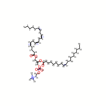 CCCCC/C=C\C/C=C\C/C=C\C/C=C\CCCC(=O)OC[C@H](COP(=O)([O-])OCC[N+](C)(C)C)OC(=O)CCCCCCC/C=C\CCCCCCCCC